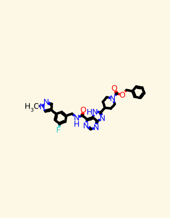 Cn1cc(-c2cc(F)cc(CNC(=O)c3ncnc4nc(C5CCN(C(=O)OCc6ccccc6)CC5)[nH]c34)c2)cn1